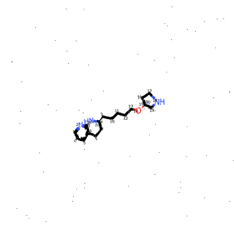 c1cnc2c(c1)CC[C@H](CCCCCO[C@@H]1CCNC1)N2